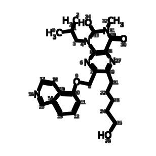 CC(C)CN1c2nc(COc3cccc4cnccc34)c(CCCCCO)nc2C(=O)N(C)C1O